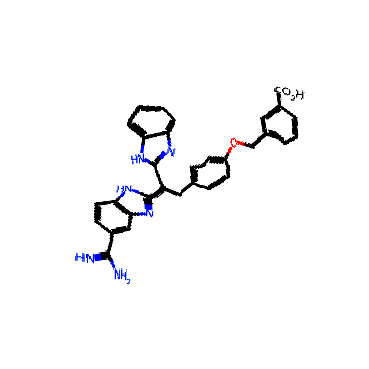 N=C(N)c1ccc2[nH]c(C(Cc3ccc(OCc4cccc(C(=O)O)c4)cc3)c3nc4ccccc4[nH]3)nc2c1